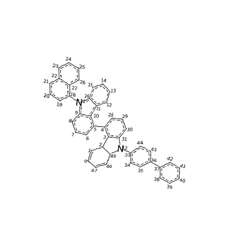 C1=CC2c3c(-c4cccc5c4c4ccccc4n5-c4cccc5ccccc45)cccc3N(c3ccc(-c4ccccc4)cc3)C2C=C1